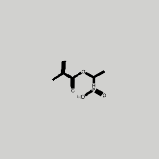 C=C(C)C(=O)OC(C)[PH](=O)O